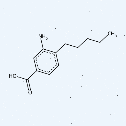 CCCCCc1ccc(C(=O)O)cc1N